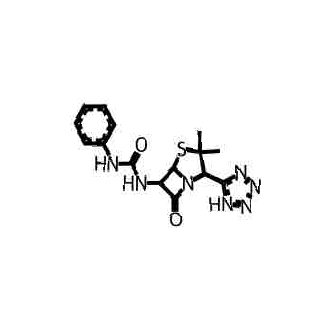 CC1(C)SC2C(NC(=O)Nc3ccccc3)C(=O)N2C1c1nnn[nH]1